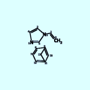 C=Cn1ccnc1.c1cc2cc(c1)C2